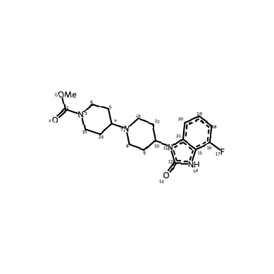 COC(=O)N1CCC(N2CCC(n3c(=O)[nH]c4c(F)cccc43)CC2)CC1